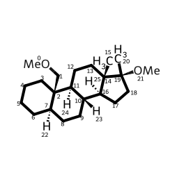 COC[C@]12CCCC[C@@H]1CC[C@@H]1[C@@H]2CC[C@@]2(C)[C@H]1CC[C@]2(C)OC